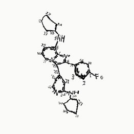 Fc1ccc(-c2nc3c(NC4CCCC4)cccn3c2-c2ccnc(NC3CCCC3)c2)cc1